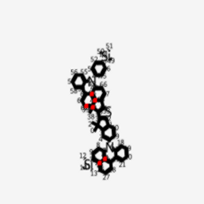 CC1(C)c2cc(N(c3ccc([Si](C)(C)C)cc3)c3ccccc3-c3ccccc3)ccc2-c2sc3c(c21)C(C)(C)c1cc(N(c2ccc([Si](C)(C)C)cc2)c2ccccc2-c2ccccc2)ccc1-3